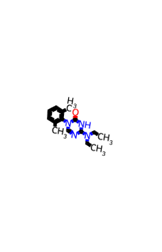 CCN(CC)C1N=CN(c2c(C)cccc2C)C(=O)N1